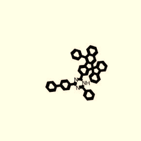 C1=CCC2C(=C1)C1(c3cc(C4N=C(c5ccc(-c6ccccc6)cc5)N=C(c5ccccc5)N4)ccc3-c3c1cc1ccccc1c3-c1ccccc1)c1ccccc12